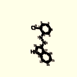 Clc1ccccc1/N=N/c1c[nH]c2ccccc12